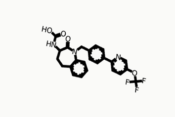 O=C(O)NC1CCc2ccccc2N(Cc2ccc(-c3ccc(OC(F)(F)F)cn3)cc2)C1=O